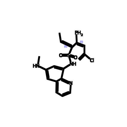 C=C(Cl)/C=C(P)\C(=C/C)S(=O)(=O)Nc1cc(NC)cc2cccnc12